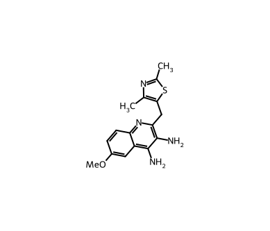 COc1ccc2nc(Cc3sc(C)nc3C)c(N)c(N)c2c1